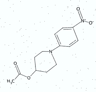 CC(=O)OC1CCN(c2ccc([N+](=O)[O-])cc2)CC1